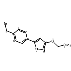 COCOc1cc(-c2ccc(CBr)cc2)on1